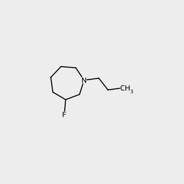 CCCN1CCCCC(F)C1